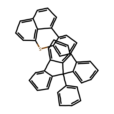 c1ccc(C2(c3ccccc3-c3ccc4c(c3)Sc3cccc5cccc-4c35)c3ccccc3-c3ccccc32)cc1